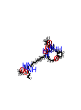 C/C=C/CN/C(=N\C(=O)OC(C)(C)C)NCCCCCCCCN1CCCCOc2ccccc2CN/C(=N/C(=O)OC(C)(C)C)NC1=O